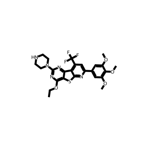 CCOc1nc(N2CCNCC2)nc2c1sc1nc(-c3cc(OC)c(OC)c(OC)c3)cc(C(F)(F)F)c12